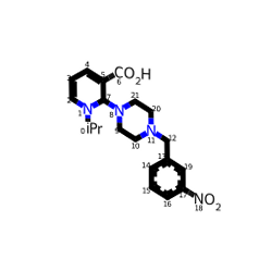 CC(C)N1C=CC=C(C(=O)O)C1N1CCN(Cc2cccc([N+](=O)[O-])c2)CC1